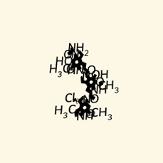 COc1c(O)c2c(c3cc(C(=O)N4CCc5c4c(O)c(OC)c4[nH]c(C(=O)N6C[C@@H](CCl)c7c6cc(OC)c6[nH]cc(C)c76)cc54)[nH]c13)CCN2C(N)=O